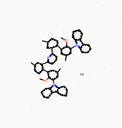 COc1c(-c2ccc(C)cc2-c2cccc(-c3cc(C)ccc3-c3cc(C)cc(-n4c5ccccc5c5ccccc54)c3OC)n2)cc(C)cc1-n1c2ccccc2c2ccccc21.[Hf]